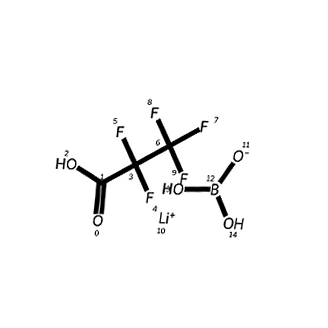 O=C(O)C(F)(F)C(F)(F)F.[Li+].[O-]B(O)O